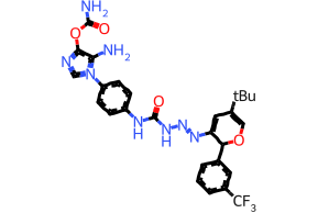 CC(C)(C)C1=COC(c2cccc(C(F)(F)F)c2)C(N=NNC(=O)Nc2ccc(-n3cnc(OC(N)=O)c3N)cc2)=C1